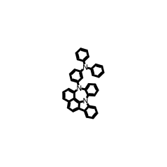 c1ccc(N(c2ccccc2)c2cccc(-n3c4cccc5ccc6c7ccccc7n(c7ccccc73)c6c54)c2)cc1